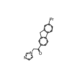 CC(C)c1ccc2c(c1)Cc1cc(C(=O)Cn3ccnc3)ccc1-2